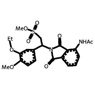 CCOc1cc(C(CS(=O)(=O)OC)N2C(=O)c3cccc(NC(C)=O)c3C2=O)ccc1OC